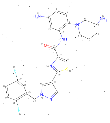 Nc1ccc(N2CCCC(N)C2)c(NC(=O)c2csc(-c3cnn(Cc4cc(F)ccc4F)c3)n2)c1